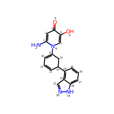 Nc1cc(=O)c(O)cn1C1=CC=CC(c2cccc3[nH]ncc23)C1